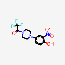 O=C(N1CCN(c2ccc(O)c([N+](=O)[O-])c2)CC1)C(F)(F)F